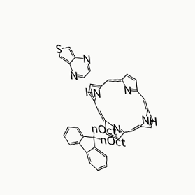 C1=Cc2cc3ccc(cc4nc(cc5ccc(cc1n2)[nH]5)C=C4)[nH]3.CCCCCCCCC1(CCCCCCCC)c2ccccc2-c2ccccc21.c1cnc2cscc2n1